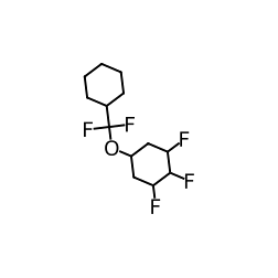 FC1CC(OC(F)(F)C2CCCCC2)CC(F)C1F